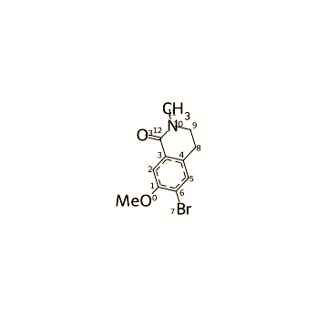 COc1cc2c(cc1Br)CCN(C)C2=O